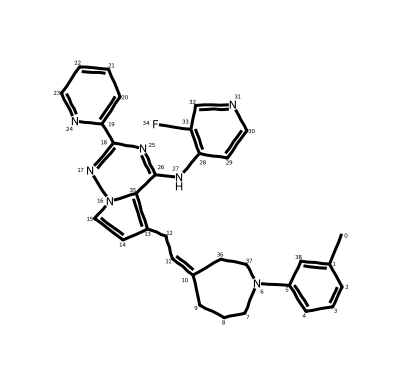 Cc1cccc(N2CCC/C(=C/Cc3ccn4nc(-c5ccccn5)nc(Nc5ccncc5F)c34)CC2)c1